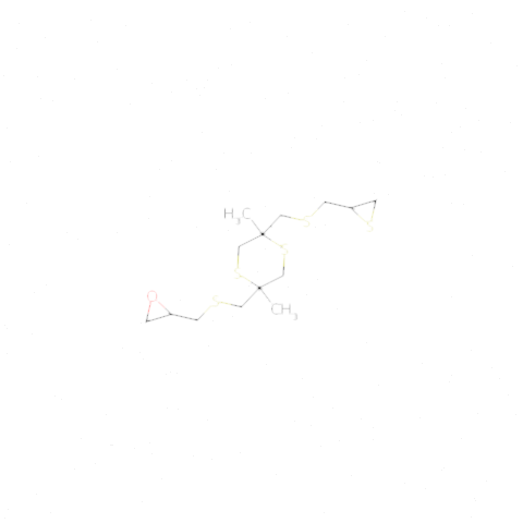 CC1(CSCC2CO2)CSC(C)(CSCC2CS2)CS1